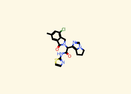 Cc1cc(Cl)c2c(c1)C(=O)N(C(C(=O)Nc1nccs1)c1ncn3c1CCC3)C2